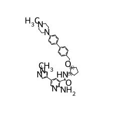 CN1CCN(c2ccc(-c3ccc(CO[C@H]4CCC[C@@H]4NC(=O)c4cc(-c5cnn(C)c5)cnc4N)cc3)cc2)CC1